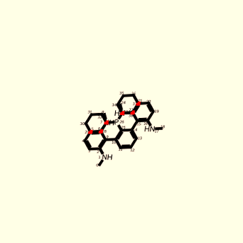 CNc1cccc(NC)c1-c1cccc(-c2c(NC)cccc2NC)c1P(C1CCCCC1)C1CCCCC1